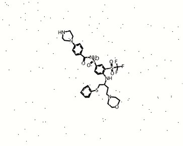 O=C(NS(=O)(=O)c1ccc(NC(CCN2CCOCC2)CSc2ccccc2)c(S(=O)(=O)C(F)(F)F)c1)c1ccc(N2CCNCC2)cc1